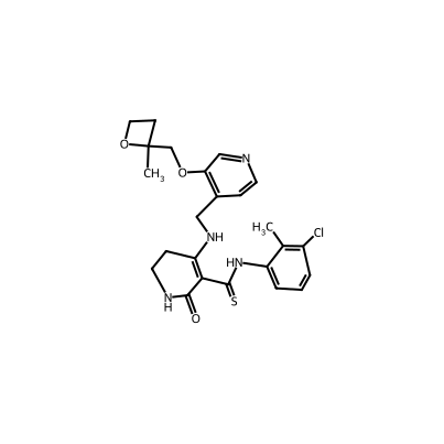 Cc1c(Cl)cccc1NC(=S)C1=C(NCc2ccncc2OCC2(C)CCO2)CCNC1=O